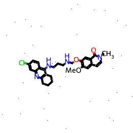 COc1cc2ccn(C)c(=O)c2cc1OCNCCCNc1c2c(nc3cc(Cl)ccc13)CCCC2